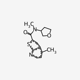 Cc1ccnc2sc(C(=O)N(C)C3CCOC3)cc12